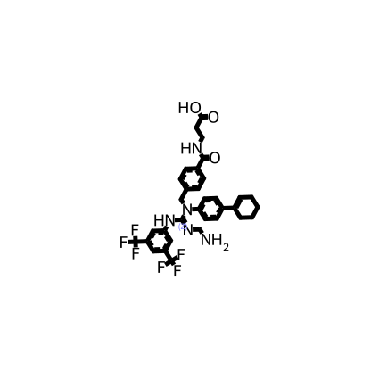 NC/N=C(/Nc1cc(C(F)(F)F)cc(C(F)(F)F)c1)N(Cc1ccc(C(=O)NCCC(=O)O)cc1)c1ccc(C2=CCCCC2)cc1